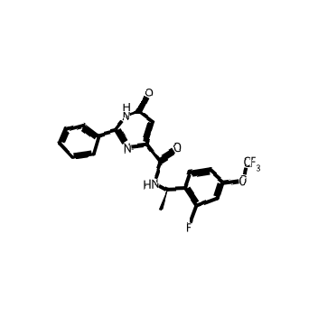 C[C@@H](NC(=O)c1cc(=O)[nH]c(-c2ccccc2)n1)c1ccc(OC(F)(F)F)cc1F